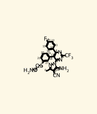 Cc1nn(-c2nc(C(F)(F)F)nc(-c3ccc(F)cc3)c2-c2cccc(SOON)c2)c(N)c1C#N